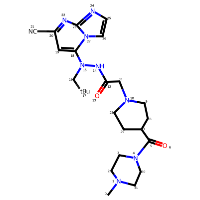 CN1CCN(C(=O)C2CCN(CC(=O)NN(CC(C)(C)C)c3cc(C#N)nc4nccn34)CC2)CC1